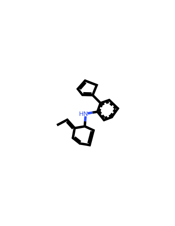 CC=C1C=CC=CC1Nc1ccccc1C1=CC=CC1